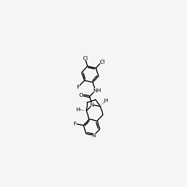 O=C(Nc1cc(Cl)c(Cl)cc1F)N1[C@H]2CC[C@@H]1c1c(F)cncc1C2